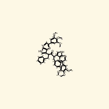 COc1cc(-c2cnc3[nH]cc(C(Cc4ccccc4)C(=O)C(Cc4ccccc4)c4c[nH]c5ncc(-c6cc(OC)c(OC)c(OC)c6)nc45)c3n2)cc(OC)c1OC